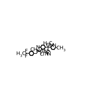 Cc1ccc(C(O)(c2ccc3nc(Cl)c(Cc4ccc(C(C)(F)F)cc4)c(Cl)c3c2)c2cnnn2C)c(C)n1